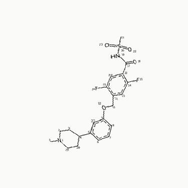 CN1CCC(c2cccc(OCc3cc(F)c(C(=O)NS(C)(=O)=O)cc3F)c2)CC1